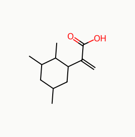 C=C(C(=O)O)C1CC(C)CC(C)C1C